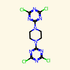 Clc1nc(Cl)nc(N2CCN(c3nc(Cl)nc(Cl)n3)CC2)n1